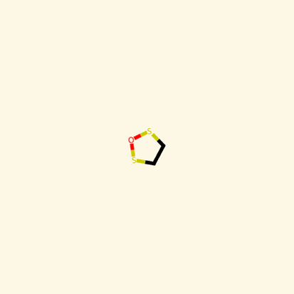 C1CSOS1